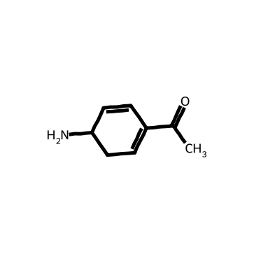 CC(=O)C1=CCC(N)C=C1